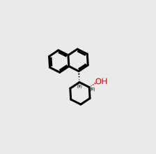 O[C@@H]1CCCC[C@@H]1c1cccc2ccccc12